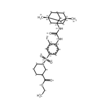 CCOC(=O)C1CCCN(S(=O)(=O)c2ccc(NC(=O)NC34CC5C[C@@](C)(C3)C[C@](C)(C5)C4)c(F)c2)C1